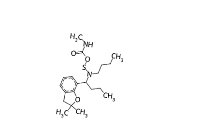 CCCCN(SOC(=O)NC)C(CCC)c1cccc2c1OC(C)(C)C2